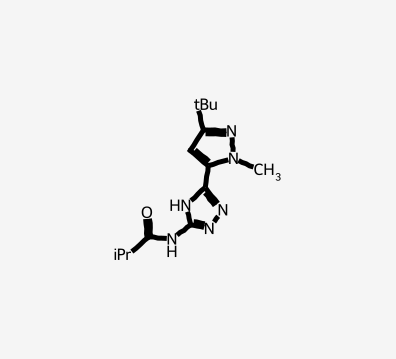 CC(C)C(=O)Nc1nnc(-c2cc(C(C)(C)C)nn2C)[nH]1